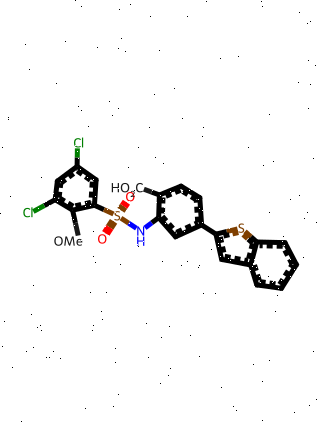 COc1c(Cl)cc(Cl)cc1S(=O)(=O)Nc1cc(-c2cc3ccccc3s2)ccc1C(=O)O